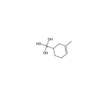 CC1=CCCC([Si](O)(O)O)C1